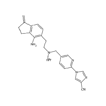 C=C1CCc2c1ccc(CCN(CCC)Cc1ccc(-n3cnc(C#N)c3)nc1)c2N